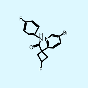 O=C(Nc1ccc(F)cc1)C1(c2ccc(Br)cn2)CC(F)C1